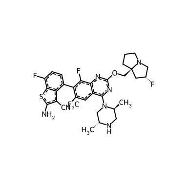 C[C@@H]1CN(c2nc(OC[C@@]34CCCN3C[C@H](F)C4)nc3c(F)c(-c4ccc(F)c5sc(N)c(C#N)c45)c(C(F)(F)F)cc23)[C@@H](C)CN1